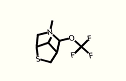 CC1C2CN(C)C(OC(F)(F)F)C1CS2